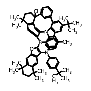 Cc1cc2c3c(c1)N(c1ccc(C(C)(C)C)cc1)c1c(oc4cc5c(cc14)C(C)(C)CCC5(C)C)B3c1cc3c4cc1N2c1c(-c2ccccc2)cc(C(C)(C)C)cc1-c1cccc(c1)C4(C)CCC3(C)C